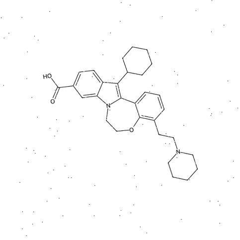 O=C(O)c1ccc2c(C3CCCCC3)c3n(c2c1)CCOc1c(CCN2CCCCC2)cccc1-3